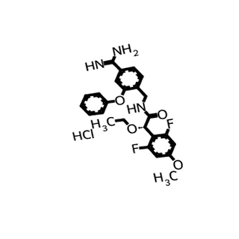 CCO[C@H](C(=O)NCc1ccc(C(=N)N)cc1Oc1ccccc1)c1c(F)cc(OC)cc1F.Cl